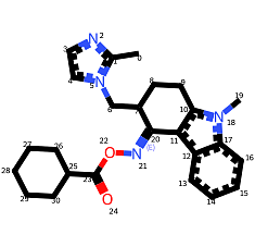 Cc1nccn1CC1CCc2c(c3ccccc3n2C)/C1=N/OC(=O)C1CCCCC1